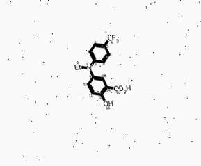 CCN(c1ccc(C(F)(F)F)cc1)c1ccc(O)c(C(=O)O)c1